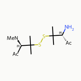 CN[C@H](C(C)=O)C(C)(C)SSC(C)(C)[C@H](N)C(C)=O